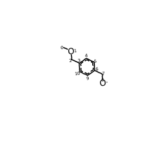 COCc1ccc(C[O])cc1